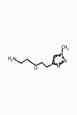 Cn1cc(CCNCCN)nn1